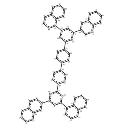 c1ccc2ncc(-c3cc(-c4cccc5ccccc45)nc(-c4ccc(-c5ccc(-c6nc(-c7cnc8ccccc8c7)cc(-c7cccc8ccccc78)n6)cc5)cc4)n3)cc2c1